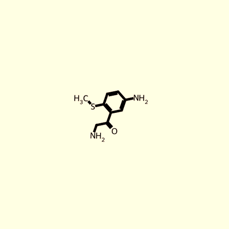 CSc1ccc(N)cc1C(=O)CN